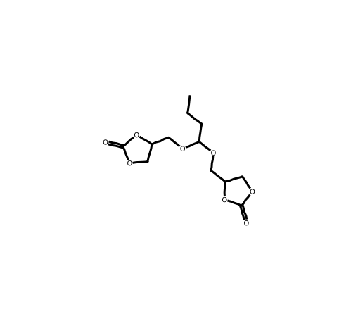 CCCC(OCC1COC(=O)O1)OCC1COC(=O)O1